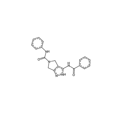 O=C(Nc1[nH]nc2c1CN(C(=O)Nc1ccccc1)C2)c1ccccc1